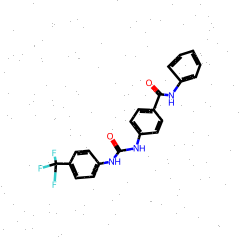 O=C(Nc1ccc(C(=O)Nc2ccccc2)cc1)Nc1ccc(C(F)(F)F)cc1